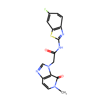 Cn1ccc2ncn(CC(=O)Nc3nc4ccc(F)cc4s3)c2c1=O